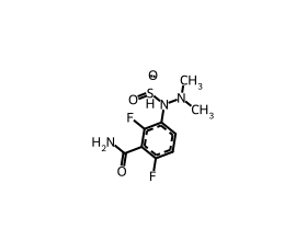 CN(C)N(c1ccc(F)c(C(N)=O)c1F)[SH](=O)=O